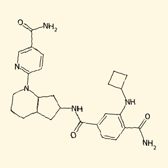 NC(=O)c1ccc(N2CCCC3CC(NC(=O)c4ccc(C(N)=O)c(NC5CCC5)c4)CC32)nc1